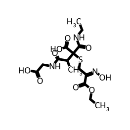 CCNC(=O)C(SCC(=NO)C(=O)OCC)(C(=O)O)C(C)C(=O)NCC(=O)O